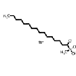 CCCCCCCCCCCCCCCC(Cl)[N+](C)(C)C.[Br-]